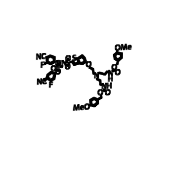 COc1ccc(COC(=O)NCCCN(CCCNC(=O)OCc2ccc(OC)cc2)CCCOc2ccc3sc(S(=O)(=O)NCP(=O)(Oc4ccc(C#N)c(F)c4)Oc4ccc(C#N)c(F)c4)cc3c2)cc1